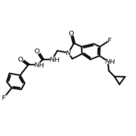 O=C(NCN1Cc2cc(NCC3CC3)c(F)cc2C1=O)NC(=O)c1ccc(F)cc1